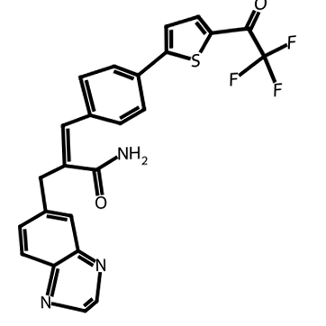 NC(=O)C(=Cc1ccc(-c2ccc(C(=O)C(F)(F)F)s2)cc1)Cc1ccc2nccnc2c1